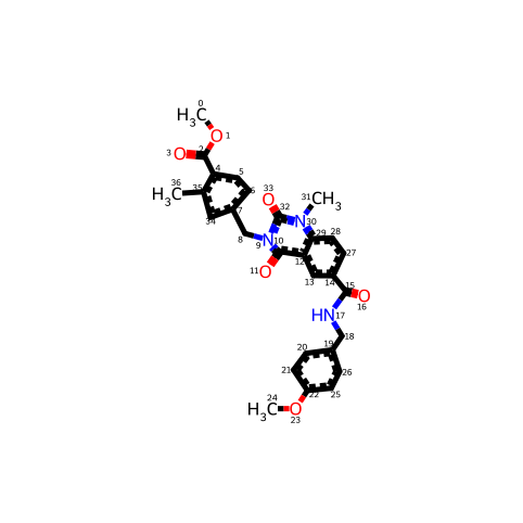 COC(=O)c1ccc(Cn2c(=O)c3cc(C(=O)NCc4ccc(OC)cc4)ccc3n(C)c2=O)cc1C